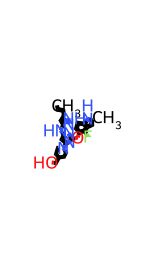 C/C=C/c1cc(Nc2cc(N3CCC(CO)CC3)nc(Oc3ccc4[nH]c(C)cc4c3F)n2)n[nH]1